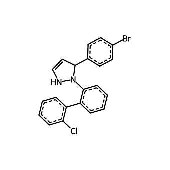 Clc1ccccc1-c1ccccc1N1NC=CC1c1ccc(Br)cc1